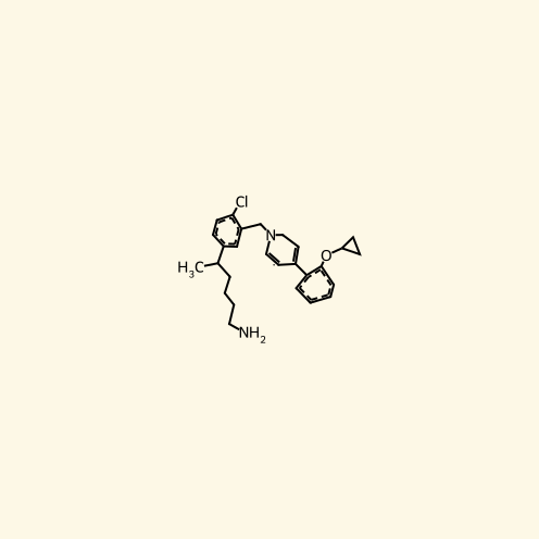 CC(CCCCN)c1ccc(Cl)c(CN2C=[C]C(c3ccccc3OC3CC3)=CC2)c1